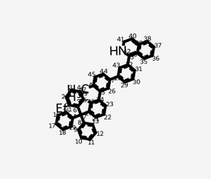 CCc1ccccc1C(c1ccccc1)(c1ccccc1)c1cccc(-c2cc(-c3cccc(C4=c5ccccc5=CCN4)c3)ccc2C)c1C